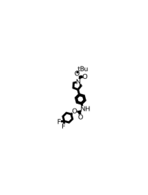 CC(C)(C)OC(=O)N1CCC(c2ccc(NC(=O)OC3CCC(F)(F)CC3)cc2)C1